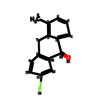 Cc1cccc2c1Cc1ccc(F)cc1C2=O